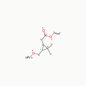 C=COC(=O)CC1C(COCCC)C1(C)C